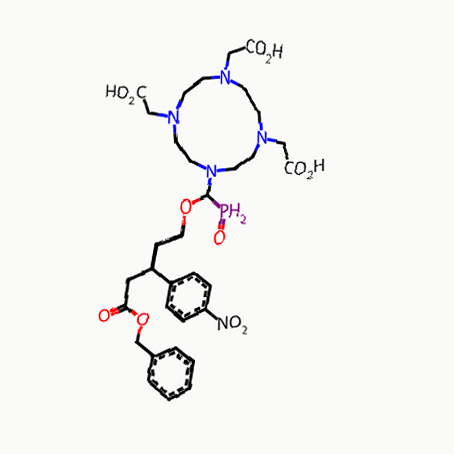 O=[PH2]C(OCCC(CC(=O)OCc1ccccc1)c1ccc([N+](=O)[O-])cc1)N1CCN(CC(=O)O)CCN(CC(=O)O)CCN(CC(=O)O)CC1